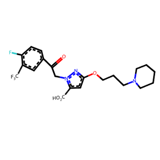 O=C(Cn1nc(OCCCN2CCCCC2)cc1C(=O)O)c1ccc(F)c(C(F)(F)F)c1